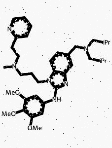 COc1cc(Nc2nc3cc(CN(CC(C)C)CC(C)C)ccc3n2CCCN(C)CCc2ccccn2)cc(OC)c1OC